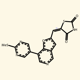 CSc1ncc(-c2cncc3cc(/C=C4/SC(=O)NC4=O)oc23)cn1